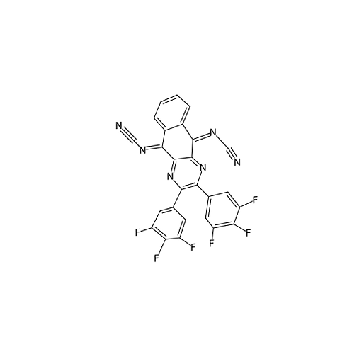 N#C/N=C1/c2ccccc2/C(=N\C#N)c2nc(-c3cc(F)c(F)c(F)c3)c(-c3cc(F)c(F)c(F)c3)nc21